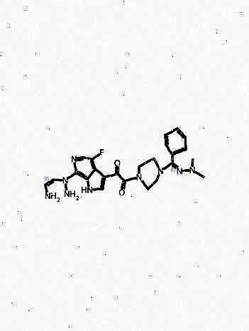 CN(C)/N=C(\c1ccccc1)N1CCN(C(=O)C(=O)c2c[nH]c3c(N(N)/C=C\N)ncc(F)c23)CC1